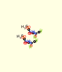 CCS(=O)(=O)c1ccc([C@H](CO)NC(=O)c2ccc(N3C[C@@H](c4ccc(C(F)(F)F)cc4)C[C@H]3COC(F)(F)F)nc2)cc1.CCS(=O)(=O)c1ccc([C@H](CO)NC(=O)c2ccc(N3C[C@H](c4ccc(C(F)(F)F)cc4)C[C@H]3COC(F)(F)F)nc2)cc1